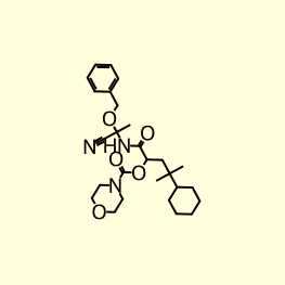 CC(C#N)(NC(=O)C(CC(C)(C)C1CCCCC1)OC(=O)N1CCOCC1)OCc1ccccc1